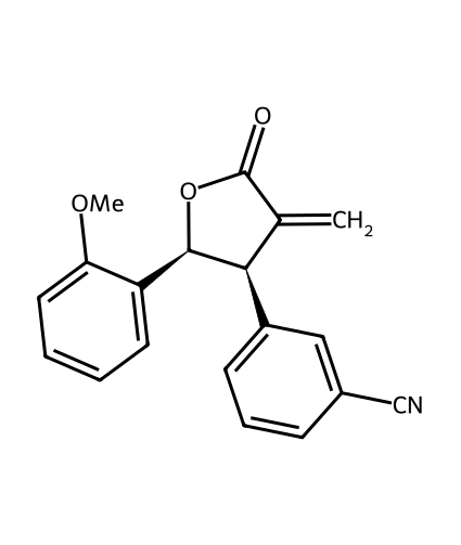 C=C1C(=O)O[C@H](c2ccccc2OC)[C@@H]1c1cccc(C#N)c1